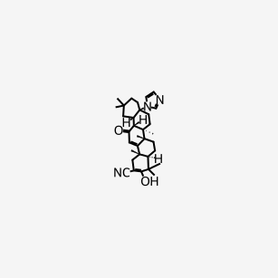 CC1(C)CC[C@]2(n3ccnc3)CC[C@]3(C)[C@H](C(=O)C=C4[C@@]5(C)CC(C#N)=C(O)C(C)(C)[C@@H]5CC[C@]43C)[C@@H]2C1